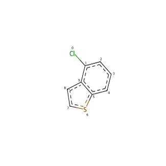 Clc1cccc2sc[c]c12